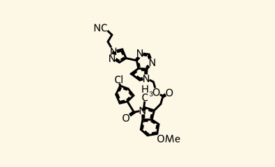 COc1ccc2c(c1)c(CC(=O)OCn1ccc3c(-c4cnn(CCC#N)c4)ncnc31)c(C)n2C(=O)c1ccc(Cl)cc1